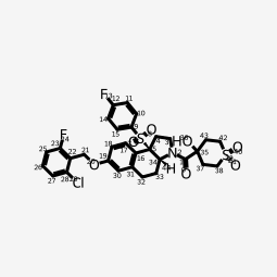 O=C(N1CC[C@@]2(S(=O)(=O)c3ccc(F)cc3)c3ccc(OCc4c(F)cccc4Cl)cc3CC[C@@H]12)C1(O)CCS(=O)(=O)CC1